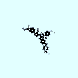 Cc1ccc(S(=O)(=O)n2c(C(=O)c3cnn(-c4ccc5[nH]c(C)nc5c4)c3N)cc3ccc(CN4CCN(C)CC4)cc32)cc1